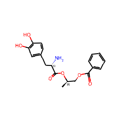 C[C@H](COC(=O)c1ccccc1)OC(=O)[C@@H](N)Cc1ccc(O)c(O)c1